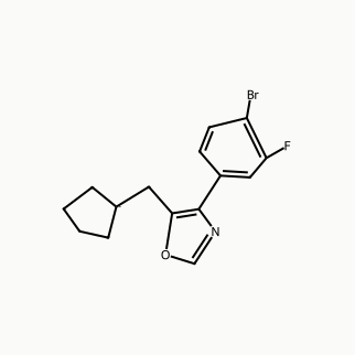 Fc1cc(-c2ncoc2C[C]2CCCC2)ccc1Br